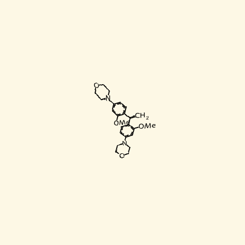 C=C(c1ccc(N2CCOCC2)cc1OC)c1ccc(N2CCOCC2)cc1OC